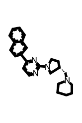 c1ccc2cc(-c3ccnc(N4CC[C@H](CN5CCCCC5)C4)n3)ccc2c1